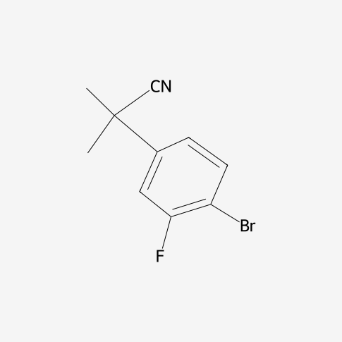 CC(C)(C#N)c1ccc(Br)c(F)c1